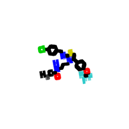 CC(=O)NCCCn1c(-c2ccc(OC(F)(F)F)cc2)cs/c1=N\Cc1ccc(Cl)cc1